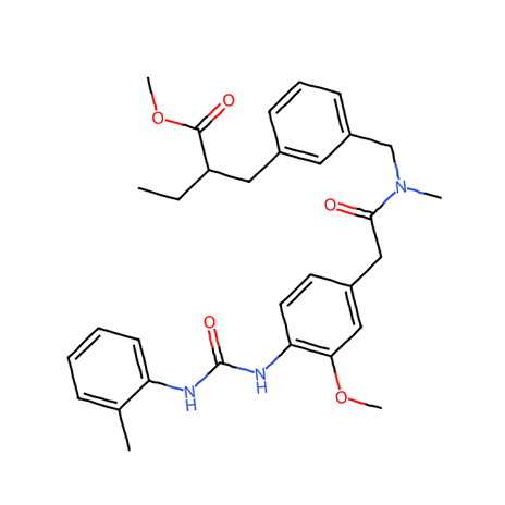 CCC(Cc1cccc(CN(C)C(=O)Cc2ccc(NC(=O)Nc3ccccc3C)c(OC)c2)c1)C(=O)OC